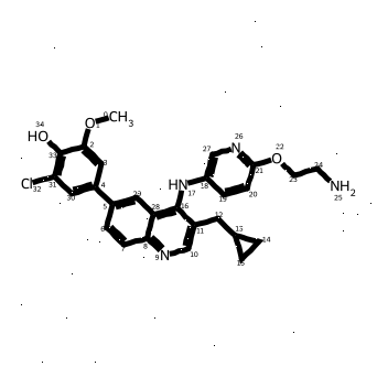 COc1cc(-c2ccc3ncc(CC4CC4)c(Nc4ccc(OCCN)nc4)c3c2)cc(Cl)c1O